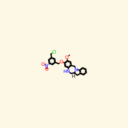 COc1cc2c(cc1OCc1cc(CCl)cc([N+](=O)[O-])c1)NC[C@@H]1Cc3ccccc3N1C2